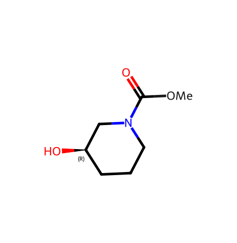 COC(=O)N1CCC[C@@H](O)C1